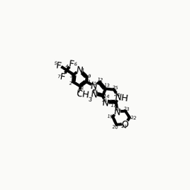 Cc1cc(C(F)(F)F)ncc1-n1cc2c(n1)N=C(N1CCOCC1)NC2